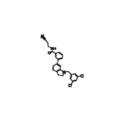 N#CCCNC(=O)c1cccc(-c2ccc3c(c2)N(Cc2cc(Cl)cc(Cl)c2)CC3)c1